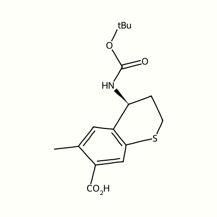 Cc1cc2c(cc1C(=O)O)SCC[C@@H]2NC(=O)OC(C)(C)C